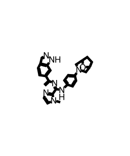 C=C(/N=C(/Nc1ccc(N2CC3CCC(C2)O3)cc1)c1nccn1C)c1ccc2cn[nH]c2c1